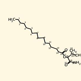 CCCCCCCCCCCCCCCC(=O)OC(C(N)=O)N(C)C